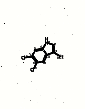 CCc1c[nH]c2cc(Cl)c(Cl)cc12